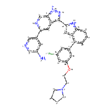 Nc1cncc(-c2cc3c(-c4cc5c(-c6cc(F)cc(OCCN7CCCC7)c6)cccc5[nH]4)n[nH]c3cn2)c1